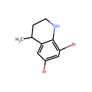 CC1CCNc2c(Br)cc(Br)cc21